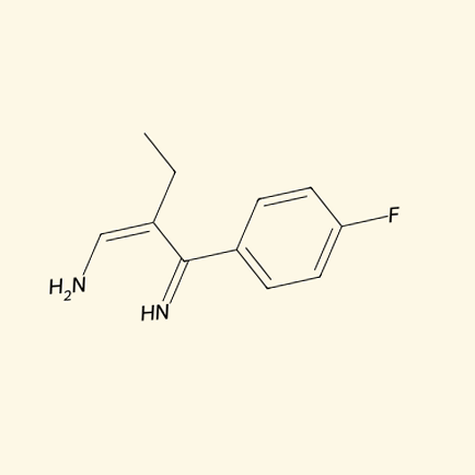 CC/C(=C/N)C(=N)c1ccc(F)cc1